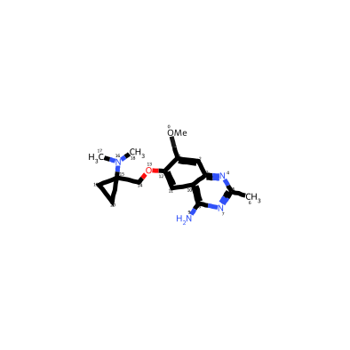 COc1cc2nc(C)nc(N)c2cc1OCC1(N(C)C)CC1